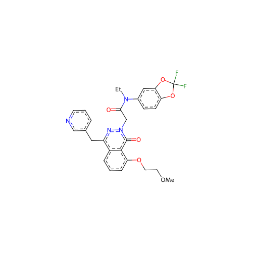 CCN(C(=O)Cn1nc(Cc2cccnc2)c2cccc(OCCOC)c2c1=O)c1ccc2c(c1)OC(F)(F)O2